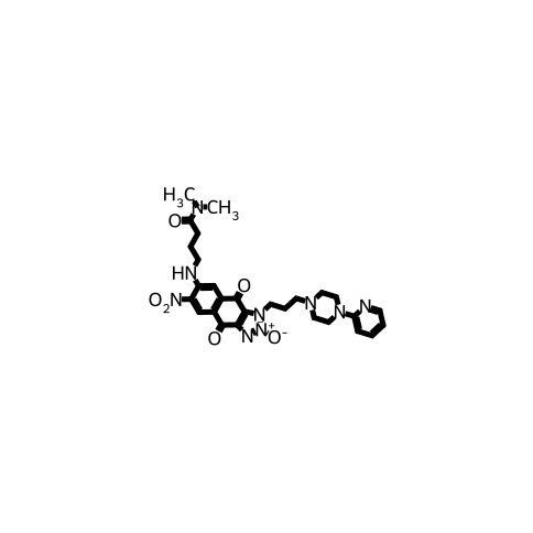 CN(C)C(=O)CCCNc1cc2c(cc1[N+](=O)[O-])C(=O)c1n[n+]([O-])n(CCCN3CCN(c4ccccn4)CC3)c1C2=O